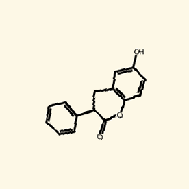 O=C1Oc2ccc(O)cc2CC1c1ccccc1